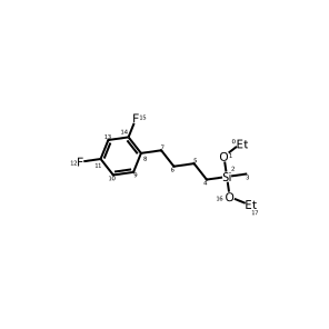 CCO[Si](C)(CCCCc1ccc(F)cc1F)OCC